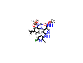 CCONC(=O)c1cnc(Nc2ccc(F)nc2C)cc1Nc1ccc(C2CC2)cc1N(C)S(C)(=O)=O